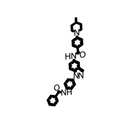 CC1CCN(c2ccc(C(=O)Nc3ccc4c(cnn4-c4ccc(NC(=O)c5ccccc5)cc4)c3)cc2)CC1